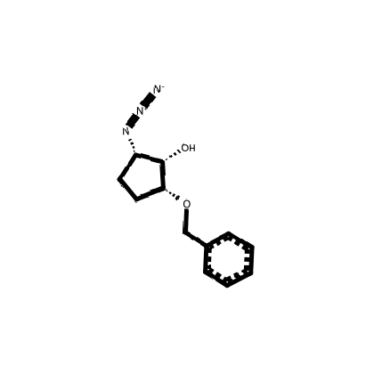 [N-]=[N+]=N[C@H]1CC[C@@H](OCc2ccccc2)[C@H]1O